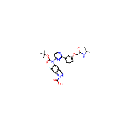 CC(C)NC(=O)COc1cccc(-c2nccc(N(C(=O)OC(C)(C)C)c3cc4cnn(C(=O)O)c4cc3F)n2)c1